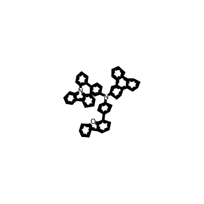 c1ccc(-n2c3ccccc3c3ccccc32)c(-c2ccc(N(c3ccc(-c4cccc5c4oc4ccccc45)cc3)c3ccc4c5ccccc5c5ccccc5c4c3)cc2)c1